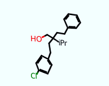 CC(C)C(CO)(CCc1ccccc1)CCc1ccc(Cl)cc1